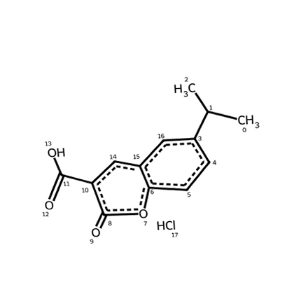 CC(C)c1ccc2oc(=O)c(C(=O)O)cc2c1.Cl